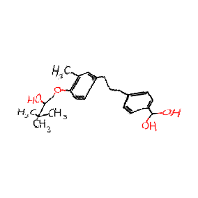 Cc1cc(CCCc2ccc(C(O)O)cc2)ccc1OCC(O)C(C)(C)C